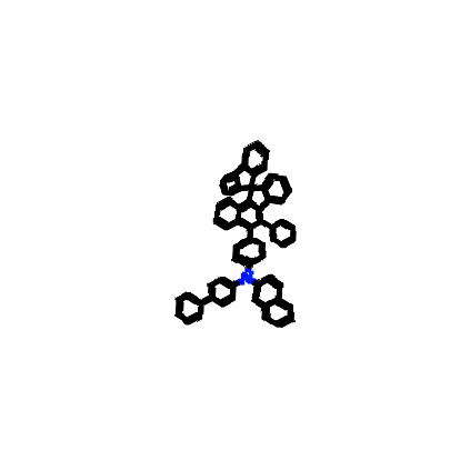 c1ccc(-c2ccc(N(c3ccc(-c4c(-c5ccccc5)c5c(c6ccccc46)C4(c6ccccc6-c6ccccc64)c4ccccc4-5)cc3)c3ccc4ccccc4c3)cc2)cc1